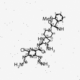 CNc1ccccc1C(=N)C(=O)N1CCC2(CC1)CN(N)/C(=N\C(=O)c1nc(Cl)c(N=NN)nc1N=NN)N2